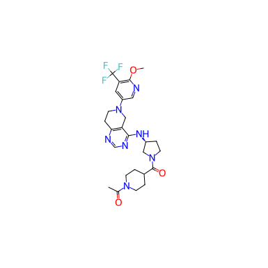 COc1ncc(N2CCc3ncnc(N[C@H]4CCN(C(=O)C5CCN(C(C)=O)CC5)C4)c3C2)cc1C(F)(F)F